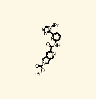 CC(C)OC(=O)N1Cc2cnc(C(=O)Nc3cccc(-c4nncn4C(C)C)n3)cc2C1